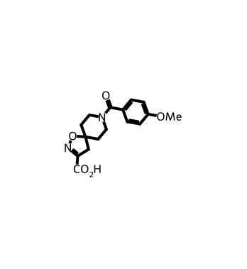 COc1ccc(C(=O)N2CCC3(CC2)CC(C(=O)O)=NO3)cc1